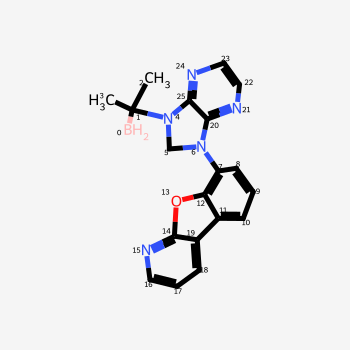 BC(C)(C)N1CN(c2cccc3c2oc2ncccc23)c2nccnc21